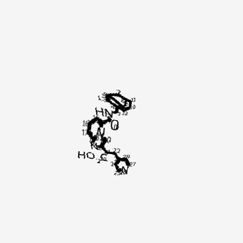 O=C(NCC12CC3CC(CC(C3)C1)C2)c1cccc2nc(C(Cc3ccncc3)C(=O)O)cn12